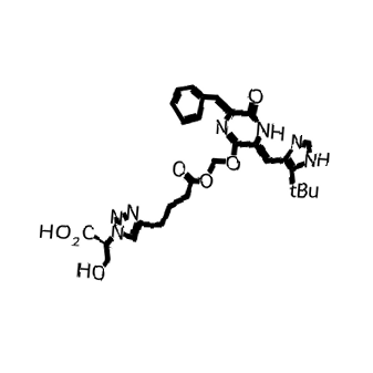 CC(C)(C)c1[nH]cnc1/C=c1\[nH]c(=O)/c(=C/c2ccccc2)nc1OCOC(=O)CCCc1cn([C@@H](CO)C(=O)O)nn1